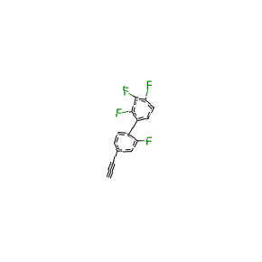 C#Cc1ccc(-c2ccc(F)c(F)c2F)c(F)c1